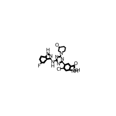 O=C1CCCN(c2nc(Nc3n[nH]c4ccc(F)cc34)nc(-c3cc4c(=O)[nH][nH]c4cc3Cl)n2)C1